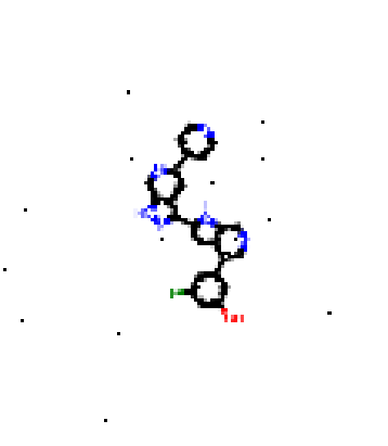 Oc1cc(F)cc(-c2cncc3[nH]c(-c4n[nH]c5cnc(-c6ccncc6)cc45)cc23)c1